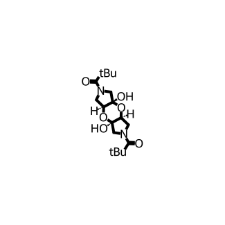 CC(C)(C)C(=O)N1C[C@@H]2O[C@@]3(O)CN(C(=O)C(C)(C)C)C[C@@H]3O[C@]2(O)C1